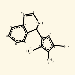 Cc1c(F)sc(C2NC=Nc3ccccc32)c1C